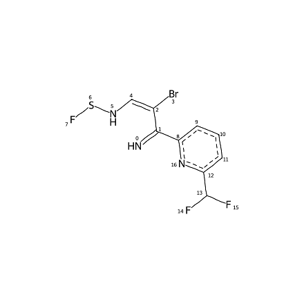 N=C(/C(Br)=C\NSF)c1cccc(C(F)F)n1